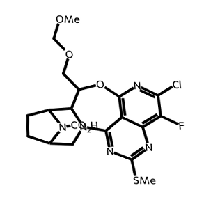 COCOCC1Oc2nc(Cl)c(F)c3nc(SC)nc(c23)N2CC3CCC(C12)N3C(=O)O